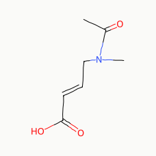 CC(=O)N(C)CC=CC(=O)O